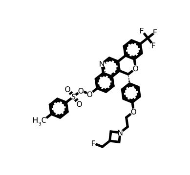 Cc1ccc(S(=O)(=O)OOc2ccc3c4c(cnc3c2)-c2ccc(C(F)(F)F)cc2O[C@@H]4c2ccc(OCCN3CC(CF)C3)cc2)cc1